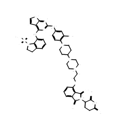 CS(=O)(=O)N1CCc2cccc(Nc3nc(Nc4ccc(N5CCC(N6CCN(CCOc7cccc8c7C(=O)N(C7CCC(=O)NC7=O)C8=O)CC6)CC5)c(F)c4)nc4[nH]ccc34)c21